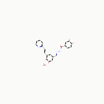 CC1Oc2cc(/C=N/NC(=O)c3ccc(O)c(Cl)c3)cc(/C=C/c3ccccn3)c2O1